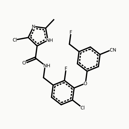 Cc1nc(Cl)c(C(=O)NCc2ccc(Cl)c(Oc3cc(C#N)cc(CF)c3)c2F)[nH]1